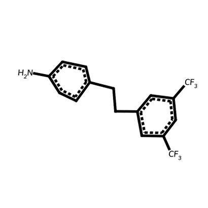 Nc1ccc(CCc2cc(C(F)(F)F)cc(C(F)(F)F)c2)cc1